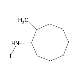 CC1CCCCCCC1NI